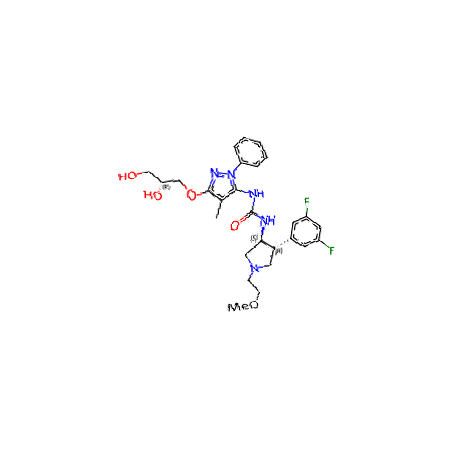 COCCN1C[C@@H](NC(=O)Nc2c(C)c(OC[C@H](O)CO)nn2-c2ccccc2)[C@H](c2cc(F)cc(F)c2)C1